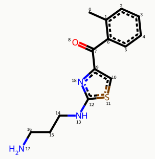 Cc1ccccc1C(=O)c1csc(NCCCN)n1